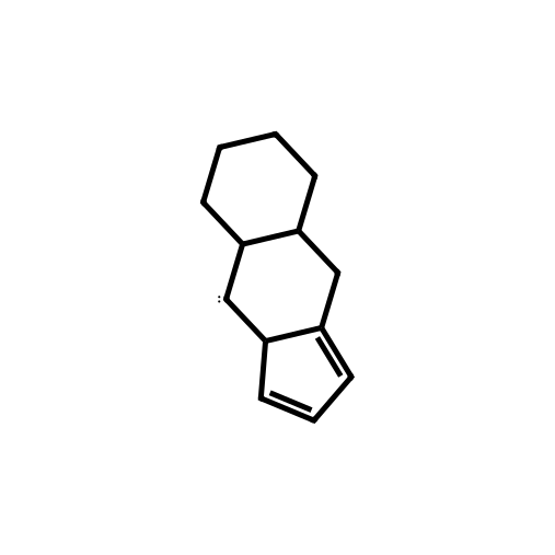 [C]1C2C=CC=C2CC2CCCCC12